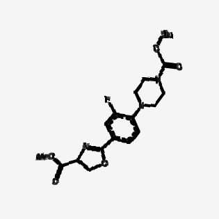 COC(=O)C1COC(c2ccc(N3CCN(C(=O)OC(C)(C)C)CC3)c(F)c2)=N1